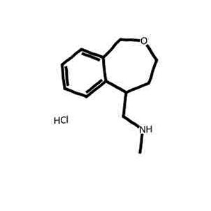 CNCC1CCOCc2ccccc21.Cl